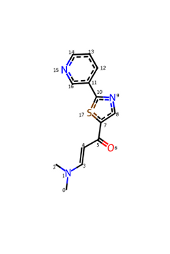 CN(C)/C=C/C(=O)c1cnc(-c2cccnc2)s1